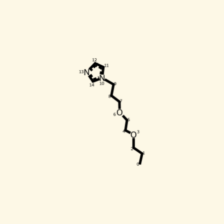 CCCOCCOCCCn1c[c]nc1